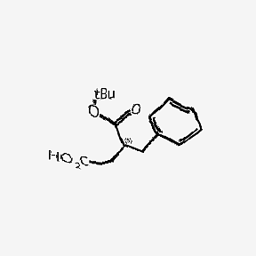 CC(C)(C)OC(=O)[C@H](CC(=O)O)Cc1ccccc1